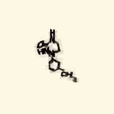 CCc1cccc(N2CCNC(=O)N2)c1